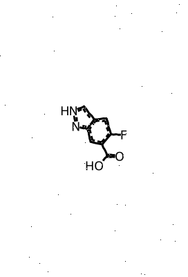 O=C(O)c1cc2n[nH]cc2cc1F